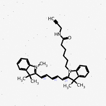 C#CCNC(=O)CCCCCN1\C(=C/C=C/C=C/C2=[N+](C)c3ccccc3C2(C)C)C(C)(C)c2ccccc21